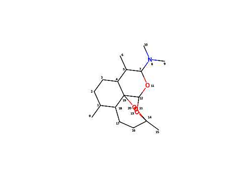 CC1CCC2C(C)C(N(C)C)OC3OC4(C)CCC1C32OO4